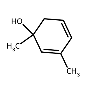 CC1=CC(C)(O)CC=C1